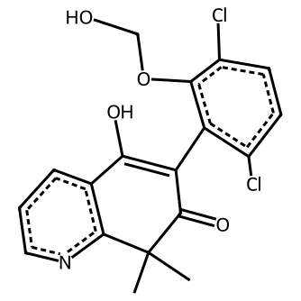 CC1(C)C(=O)C(c2c(Cl)ccc(Cl)c2OCO)=C(O)c2cccnc21